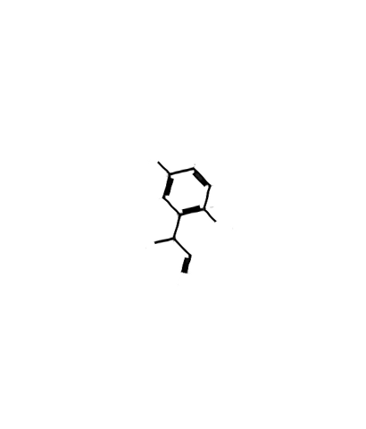 C=C[C](C)c1cc(C)ccc1C